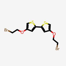 BrCCOc1csc(-c2cc(OCCBr)cs2)c1